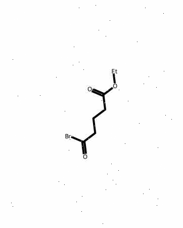 CCOC(=O)CCCC(=O)Br